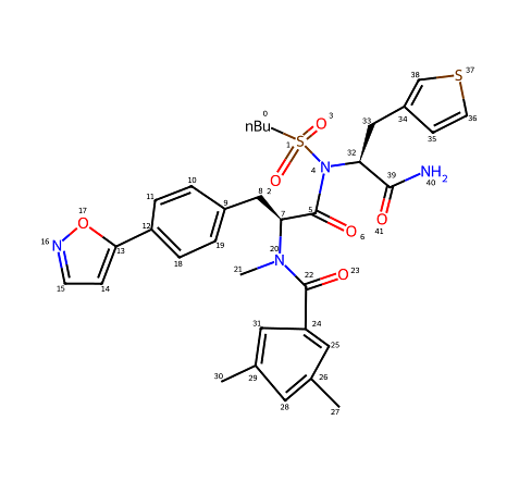 CCCCS(=O)(=O)N(C(=O)[C@H](Cc1ccc(-c2ccno2)cc1)N(C)C(=O)c1cc(C)cc(C)c1)[C@@H](Cc1ccsc1)C(N)=O